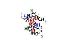 Cc1cc2cc(F)cc(C(OC(=O)C(=O)OC(c3cc(F)cc4cc(C)oc34)C(C)N)C(C)N)c2o1